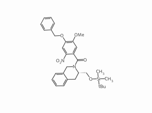 COc1cc(C(=O)N2Cc3ccccc3C[C@H]2CO[Si](C)(C)C(C)(C)C)c([N+](=O)[O-])cc1OCc1ccccc1